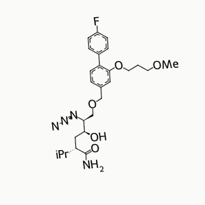 COCCCOc1cc(COC[C@H](N=[N+]=[N-])[C@@H](O)C[C@H](C(N)=O)C(C)C)ccc1-c1ccc(F)cc1